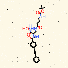 CC(C)(C)OC(=O)NCCCC(=O)NCC(NC(=O)c1ccc(C#Cc2ccccc2)cc1)C(=O)NO